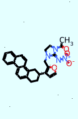 CC(=O)N1CCN(Cc2occc2C2CCc3ccc4c(ccc5ccccc54)c3C2)C1=N[N+](=O)[O-]